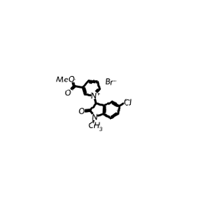 COC(=O)c1ccc[n+](C2C(=O)N(C)c3ccc(Cl)cc32)c1.[Br-]